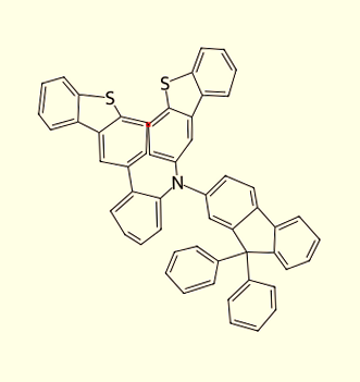 c1ccc(C2(c3ccccc3)c3ccccc3-c3ccc(N(c4ccc5sc6ccccc6c5c4)c4ccccc4-c4ccc5sc6ccccc6c5c4)cc32)cc1